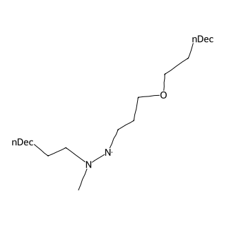 CCCCCCCCCCCCOCCC[N]N(C)CCCCCCCCCCCC